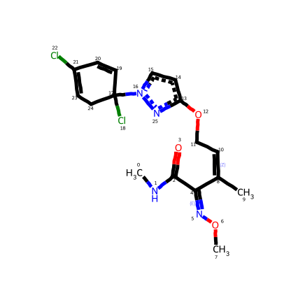 CNC(=O)C(=N/OC)/C(C)=C\COc1ccn(C2(Cl)C=CC(Cl)=CC2)n1